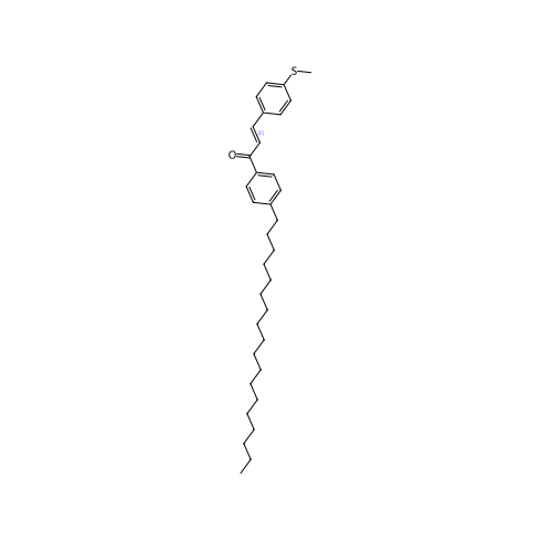 CCCCCCCCCCCCCCCCCCc1ccc(C(=O)/C=C/c2ccc(SC)cc2)cc1